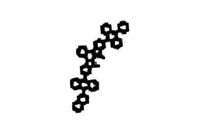 Cn1c2cc(-c3c4ccccc4c(-c4ccccc4)c4ccccc34)ccc2c2c3ccccc3c3c4ccc(-c5c6ccccc6c(-c6ccc7ccccc7c6)c6ccccc56)cc4n(C)c3c21